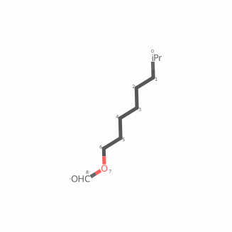 CC(C)CCCCCCO[C]=O